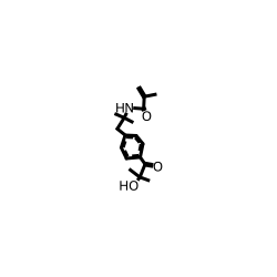 C=C(C)C(=O)NC(C)(C)Cc1ccc(C(=O)C(C)(C)O)cc1